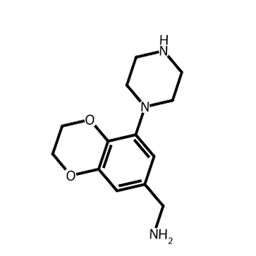 NCc1cc2c(c(N3CCNCC3)c1)OCCO2